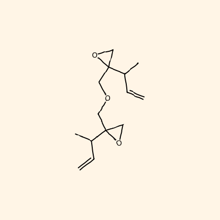 C=CC(C)C1(COCC2(C(C)C=C)CO2)CO1